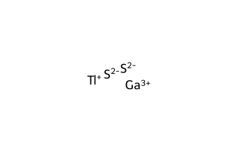 [Ga+3].[S-2].[S-2].[Tl+]